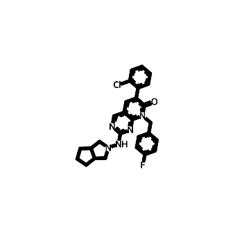 O=c1c(-c2ccccc2Cl)cc2cnc(NN3CC4CCCC4C3)nc2n1Cc1ccc(F)cc1